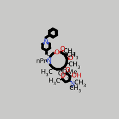 CCCN1C[C@H](C)C[C@@](C)(OC)[C@H](O[C@@H]2O[C@H](C)C[C@H](N(C)C)[C@H]2O)[C@@H](C)C(=O)C(C)(C)C(=O)OC[C@H]1CC1CCN(Cc2ccccc2)CC1